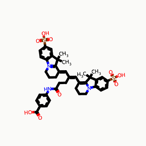 CC1(C)C2=C(/C=C(/C=C3\CCC[N+]4=C3C(C)(C)c3cc(S(=O)(=O)O)ccc34)CCC(=O)Nc3ccc(C(=O)O)cc3)CCCN2c2ccc(S(=O)(=O)O)cc21